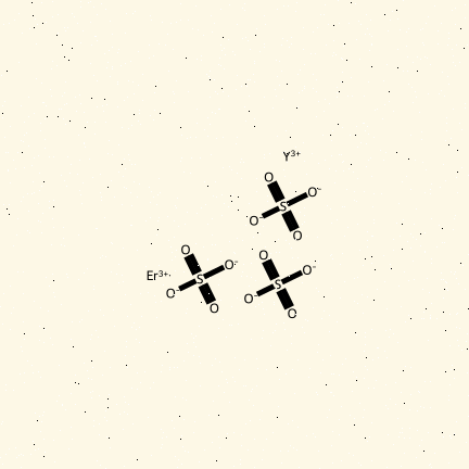 O=S(=O)([O-])[O-].O=S(=O)([O-])[O-].O=S(=O)([O-])[O-].[Er+3].[Y+3]